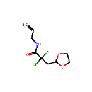 C=CCNC(=O)C(Cl)(Cl)CC1OCCO1